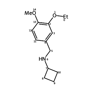 CCOc1cc(CNC2CCC2)ccc1OC